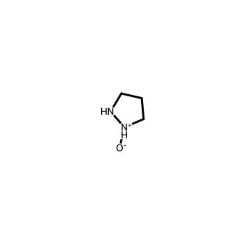 [O-][NH+]1CCCN1